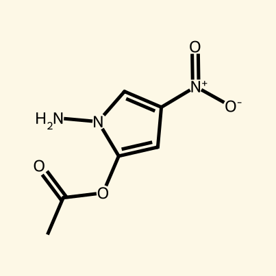 CC(=O)Oc1cc([N+](=O)[O-])cn1N